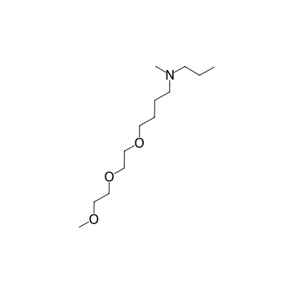 CCCN(C)CCCCOCCOCCOC